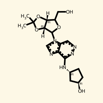 CC1(C)O[C@@H]2C(CO)OC(n3cnc4c(N[C@@H]5CC[C@@H](O)C5)nncc43)[C@@H]2O1